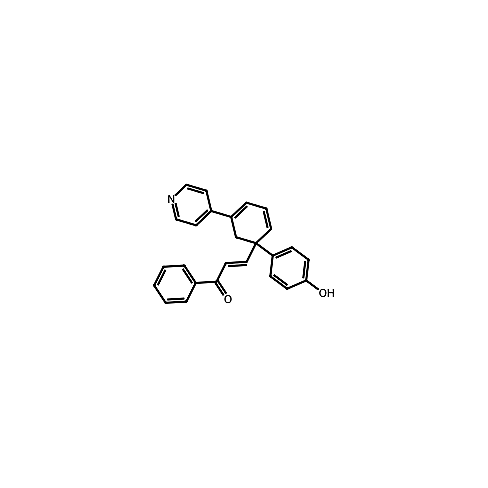 O=C(C=CC1(c2ccc(O)cc2)C=CC=C(c2ccncc2)C1)c1ccccc1